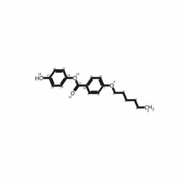 CCCCCCOc1ccc(C(=O)Oc2ccc(O)cc2)cc1